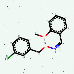 COc1ccccc1/[C]=N\OCc1cccc(Cl)c1